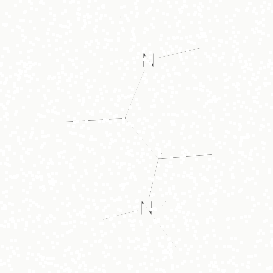 [CH2]C(C(C)N(C)C)N(C)C